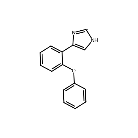 [c]1nc(-c2ccccc2Oc2ccccc2)c[nH]1